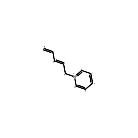 C=CC=CC[n+]1ccccc1